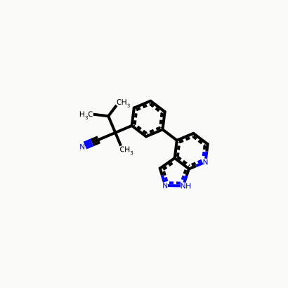 CC(C)C(C)(C#N)c1cccc(-c2ccnc3[nH]ncc23)c1